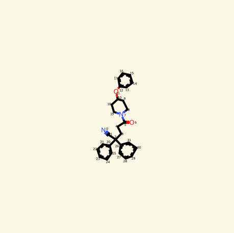 N#CC(CCC(=O)N1CCC(Oc2ccccc2)CC1)(c1ccccc1)c1ccccc1